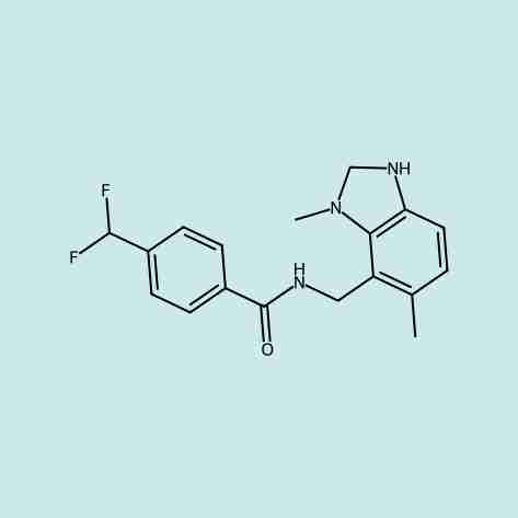 Cc1ccc2c(c1CNC(=O)c1ccc(C(F)F)cc1)N(C)CN2